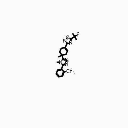 Cn1c(-c2ccccc2C(F)(F)F)nnc1C1(C)CC=C(c2noc(C(C)(C)F)n2)CC1